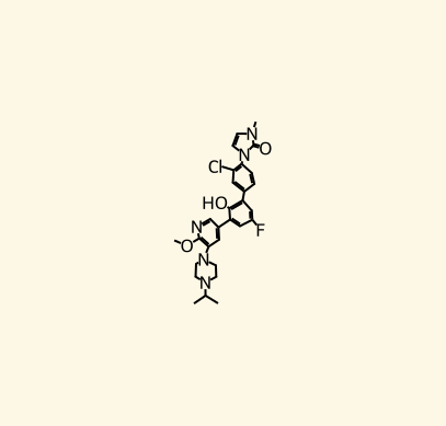 COc1ncc(-c2cc(F)cc(-c3ccc(-n4ccn(C)c4=O)c(Cl)c3)c2O)cc1N1CCN(C(C)C)CC1